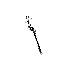 CCOC(=O)CCOC(=O)c1ccc(NCCCCCCCCCCCCCCCCBr)cc1